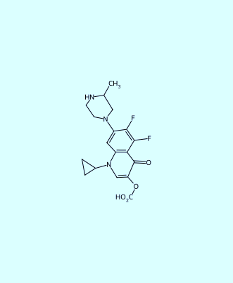 CC1CN(c2cc3c(c(F)c2F)c(=O)c(OC(=O)O)cn3C2CC2)CCN1